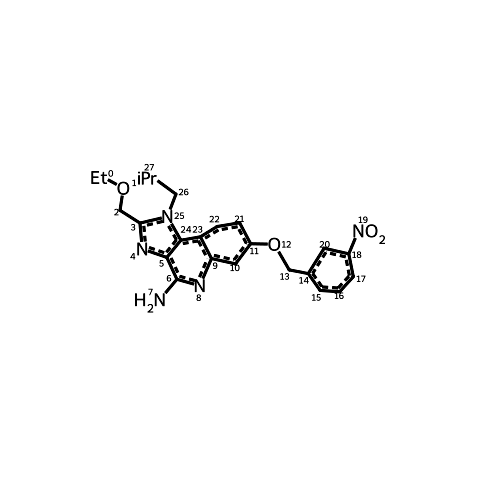 CCOCc1nc2c(N)nc3cc(OCc4cccc([N+](=O)[O-])c4)ccc3c2n1CC(C)C